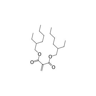 C=C(C(=O)OCC(CC)CCCC)C(=O)OCC(CC)CCCC